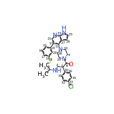 CC(C)NCC(C(=O)N1CCN(c2c(-c3cccc(F)c3)cnc3[nH]ccc23)CC1)c1ccc(Cl)cc1